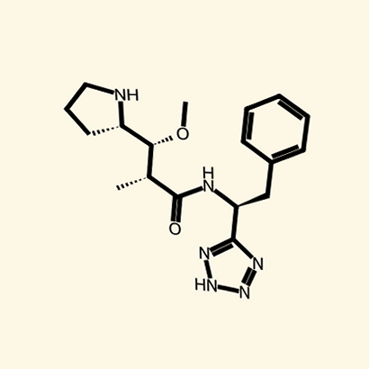 CO[C@@H]([C@@H]1CCCN1)[C@@H](C)C(=O)N[C@@H](Cc1ccccc1)c1nn[nH]n1